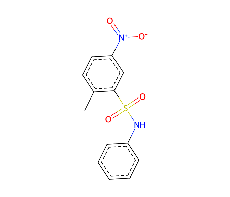 Cc1ccc([N+](=O)[O-])cc1S(=O)(=O)Nc1ccccc1